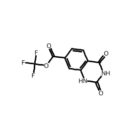 O=C(OC(F)(F)F)c1ccc2c(=O)[nH]c(=O)[nH]c2c1